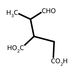 CC(C=O)C(CC(=O)O)C(=O)O